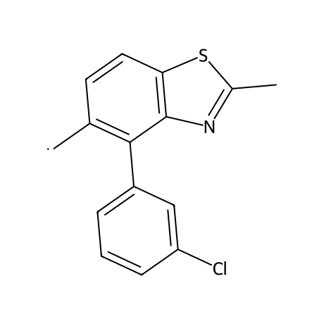 [CH2]c1ccc2sc(C)nc2c1-c1cccc(Cl)c1